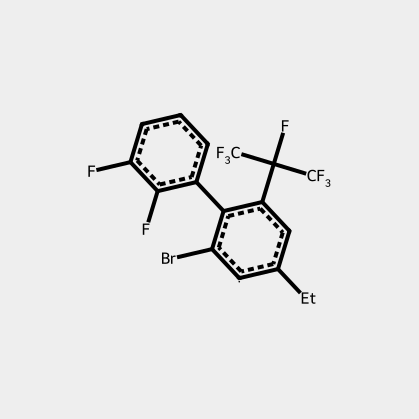 CCc1[c]c(Br)c(-c2cccc(F)c2F)c(C(F)(C(F)(F)F)C(F)(F)F)c1